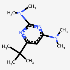 CN(C)c1cc(C(C)(C)C)nc(N(C)C)n1